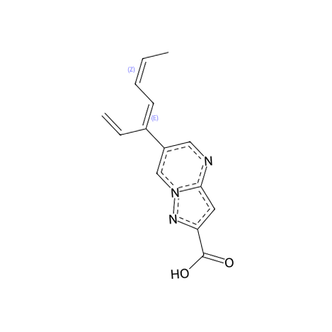 C=C/C(=C\C=C/C)c1cnc2cc(C(=O)O)nn2c1